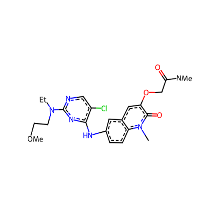 CCN(CCOC)c1ncc(Cl)c(Nc2ccc3c(c2)cc(OCC(=O)NC)c(=O)n3C)n1